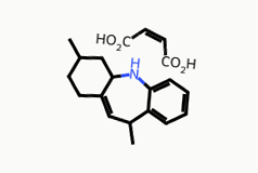 CC1CCC2=CC(C)c3ccccc3NC2C1.O=C(O)/C=C\C(=O)O